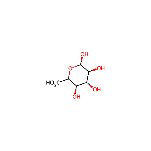 O=C(O)C1O[C@@H](O)[C@@H](O)[C@@H](O)[C@H]1O